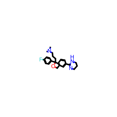 CN(C)CCCC1(c2ccc(F)cc2)OCc2cc(C3=NCCCN3)ccc21